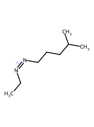 CC/N=N\CCCC(C)C